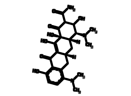 CN(C)c1ccc(O)c2c1C[C@H]1C[C@H]3[C@H](N(C)C)C(O)C(C(N)=O)C(=O)[C@@]3(O)C(O)=C1C2=O